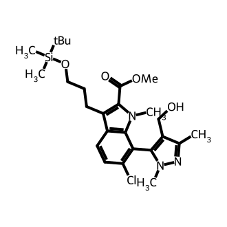 COC(=O)c1c(CCCO[Si](C)(C)C(C)(C)C)c2ccc(Cl)c(-c3c(CO)c(C)nn3C)c2n1C